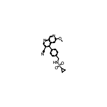 COc1cc2c(-c3ccc(CNS(=O)(=O)C4CC4)cc3)c(C#N)cnc2cn1